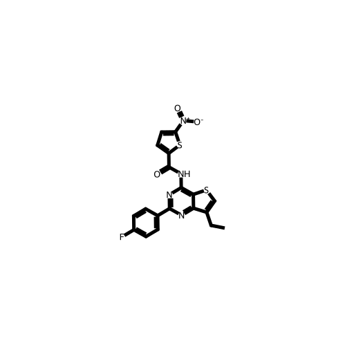 CCc1csc2c(NC(=O)c3ccc([N+](=O)[O-])s3)nc(-c3ccc(F)cc3)nc12